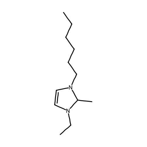 CCCCCCN1C=CN(CC)C1C